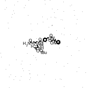 C=C(C)[C@H](NC(=O)OC(C)(C)C)C(=O)N[C@@H](CCCNC(N)=O)C(=O)Nc1ccc(COC(=O)N(C)[C@H](C(=O)OC)C(C)(C)c2ccccc2)cc1